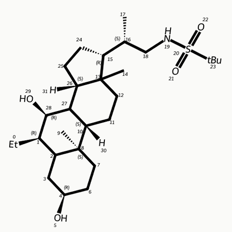 CC[C@@H]1C2C[C@H](O)CC[C@]2(C)[C@H]2CCC3(C)[C@@H]([C@H](C)CNS(=O)(=O)C(C)(C)C)CC[C@H]3C2[C@@H]1O